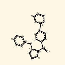 O=C(c1ccc(-c2ccccc2)cc1)c1cccn1Cc1ccccc1